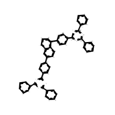 c1ccc(-c2nc(-c3ccccc3)nc(-c3ccc(-c4ccc5c(-c6ccc(-c7nc(-c8ccccc8)nc(-c8ccccc8)n7)cc6)cccc5c4)cc3)n2)cc1